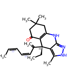 C=C(/C=C\C=C/C)[C@]1(CC)C2=C(CC(C)(C)CC2=O)Nc2n[nH]c(C)c21